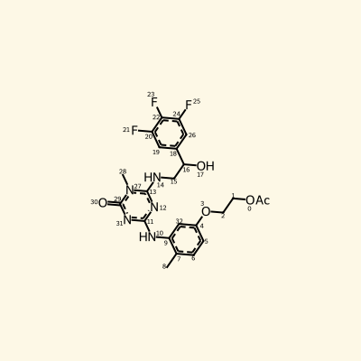 CC(=O)OCCOc1ccc(C)c(Nc2nc(NCC(O)c3cc(F)c(F)c(F)c3)n(C)c(=O)n2)c1